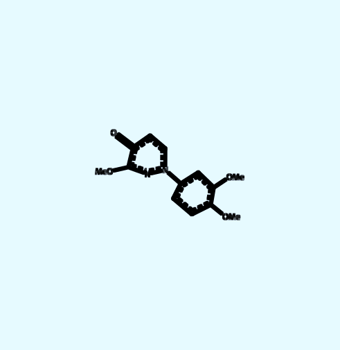 COc1ccc(-n2ccc(=O)c(OC)n2)cc1OC